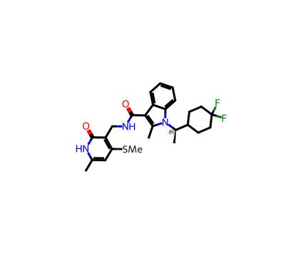 CSc1cc(C)[nH]c(=O)c1CNC(=O)c1c(C)n([C@H](C)C2CCC(F)(F)CC2)c2ccccc12